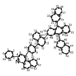 c1ccc(-c2cc(-c3ccc(-c4ccc(-c5ccc6c(-c7ccc8ccccc8c7)c7ccccc7c(-c7ccc8ccccc8c7)c6c5)c5ccccc45)cc3)c3c(ccc4ccccc43)n2)cc1